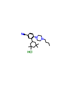 CCCCN1CCN(c2ccc(C#N)cc2C2CC(C)(C)CC(C)(C)C2)CC1.Cl